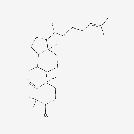 CC(C)=CCCCC(C)C1CCC2C3CC=C4C(C)(C)C(O)CCC4(C)C3CCC12C